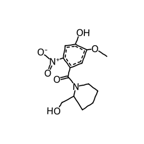 COc1cc(C(=O)N2CCCCC2CO)c([N+](=O)[O-])cc1O